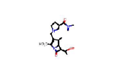 CC(O)C1C(=O)N2C(C(=O)O)=C(CN3CCC(C(=O)N(C)C)C3)C(C)C12